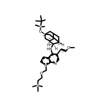 CO/C=C/c1cnc2c(ccn2COCC[Si](C)(C)C)c1N[C@H]1[C@@H]2CC3C[C@H]1C[C@@](O[Si](C)(C)C(C)(C)C)(C3)C2